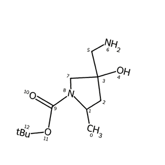 CC1CC(O)(CN)CN1C(=O)OC(C)(C)C